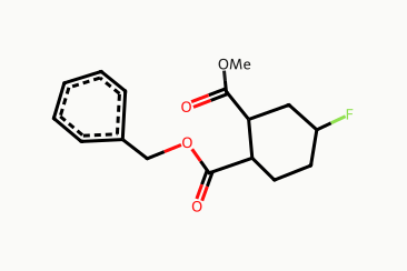 COC(=O)C1CC(F)CCC1C(=O)OCc1ccccc1